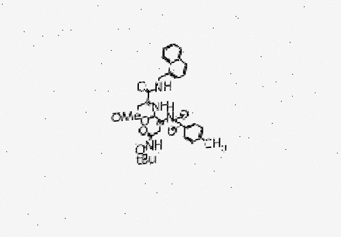 COC[C@H](NC(=O)[C@H](CC(=O)NOC(C)(C)C)NS(=O)(=O)c1ccc(C)cc1)C(=O)NCc1cccc2ccccc12